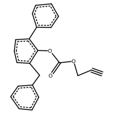 C#CCOC(=O)Oc1c(Cc2ccccc2)cccc1-c1ccccc1